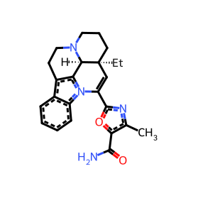 CC[C@@]12C=C(c3nc(C)c(C(N)=O)o3)n3c4c(c5ccccc53)CCN(CCC1)[C@H]42